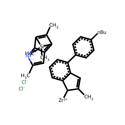 CC1=CC2=C3C(C)=C(C2=N1)[Si]3(C)C.CCCCc1ccc(-c2cccc3c2C=C(C)[CH]3[Zr+2])cc1.[Cl-].[Cl-]